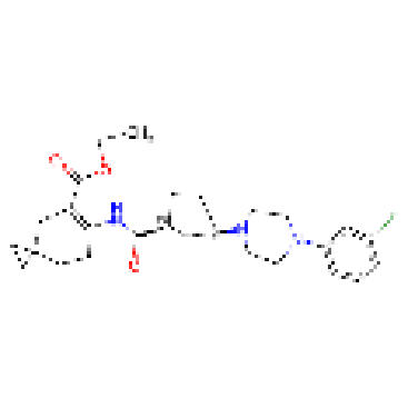 CCOC(=O)C1=C(NC(=O)[C@H]2CC[C@@H](N3CCN(c4cccc(F)c4)CC3)C2)CCC2(CC2)C1